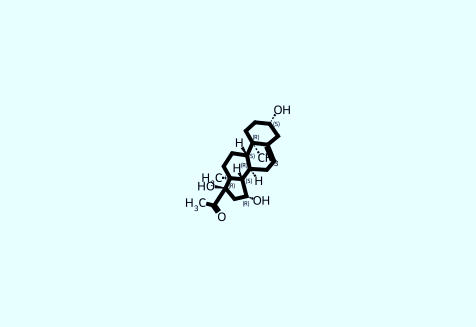 CC(=O)[C@@]1(O)C[C@@H](O)[C@H]2[C@@H]3CC=C4C[C@@H](O)CC[C@]4(C)[C@H]3CC[C@@]21C